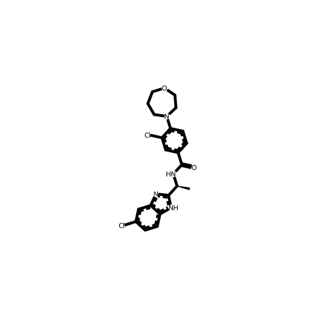 C[C@H](NC(=O)c1ccc(N2CCCOCC2)c(Cl)c1)c1nc2cc(Cl)ccc2[nH]1